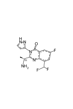 C[C@H](N)c1nc2c(C(F)F)cc(F)cc2c(=O)n1-c1cc[nH]n1